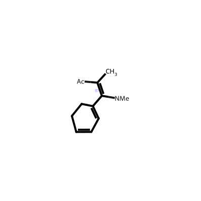 CN/C(C1=CC=CCC1)=C(\C)C(C)=O